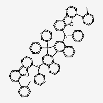 Cc1ccccc1-c1cccc2c1oc1c(N(c3ccccc3)c3cc4c(c5ccccc35)-c3c(cc(N(c5ccccc5)c5cccc6c5oc5c(-c7ccccc7C)cccc56)c5ccccc35)C4(c3ccccc3)c3ccccc3)cccc12